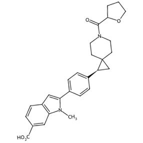 Cn1c(-c2ccc([C@@H]3CC34CCN(C(=O)C3CCCO3)CC4)cc2)cc2ccc(C(=O)O)cc21